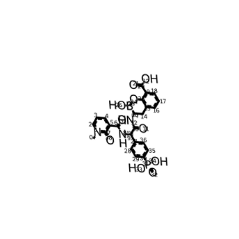 Cn1cccc(C(=O)N[C@@H](C(=O)N[C@H]2Cc3cccc(C(=O)O)c3OB2O)c2ccc(P(=O)(O)O)cc2)c1=O